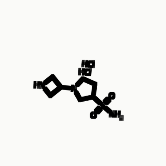 Cl.Cl.NS(=O)(=O)C1CCN(C2CNC2)C1